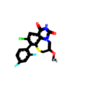 COC1=Cn2c(=O)[nH]c(=O)c3cc(Cl)c(-c4ccc(F)cc4F)c(c32)SC1